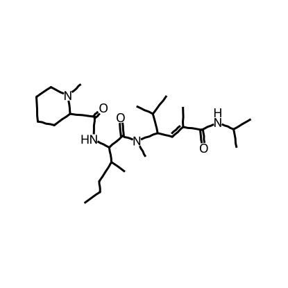 CCCC(C)C(NC(=O)C1CCCCN1C)C(=O)N(C)C(/C=C(\C)C(=O)NC(C)C)C(C)C